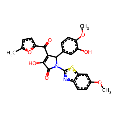 COc1ccc2nc(N3C(=O)C(O)=C(C(=O)c4ccc(C)o4)C3c3ccc(OC)c(O)c3)sc2c1